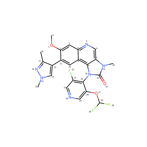 COc1cc2ncc3c(c2cc1-c1cn(C)nc1C)n(-c1c(F)cncc1OC(F)F)c(=O)n3C